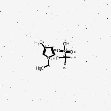 CCn1ccc(C)c1.O=S(=O)(O)C(F)(F)F